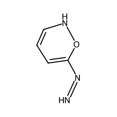 N=NC1=CC=CNO1